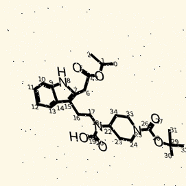 CC(C)OC(=O)Cc1[nH]c2ccccc2c1CCN(C(=O)O)C1CCN(C(=O)OC(C)(C)C)CC1